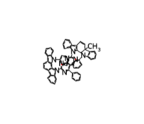 CC12C=Cc3c(n(-c4ncc5c(-c6ccccc6)nc(-n6c7ccccc7c7ccc8c9ccccc9n(-c9ccccc9)c8c76)nc5n4)c4ccccc34)C1N(c1ccccc1)c1ccccc12